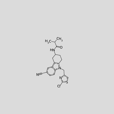 CC(C)C(=O)NC1CCc2c(c3cc(C#N)ccc3n2Cc2csc(Cl)n2)C1